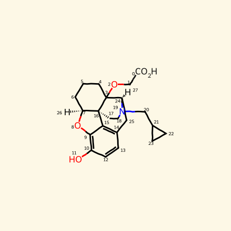 O=C(O)COC12CCC[C@@H]3Oc4c(O)ccc5c4[C@@]31CCN(CC1CC1)[C@@H]2C5